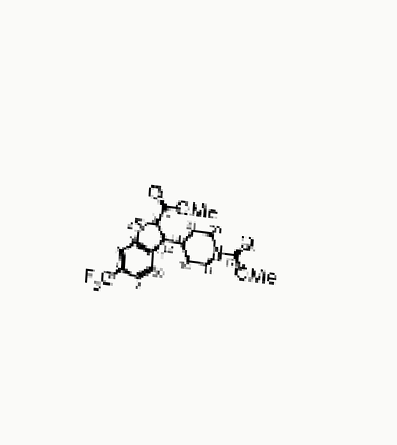 COC(=O)C1Sc2cc(C(F)(F)F)ccc2C1C1CCN(C(=O)OC)CC1